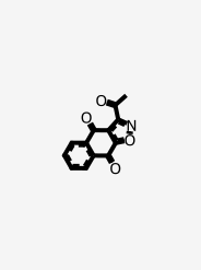 CC(=O)c1noc2c1C(=O)c1ccccc1C2=O